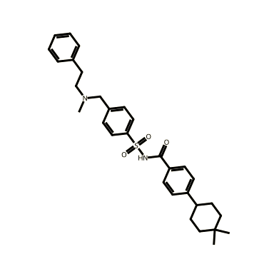 CN(CCc1ccccc1)Cc1ccc(S(=O)(=O)NC(=O)c2ccc(C3CCC(C)(C)CC3)cc2)cc1